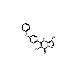 CC(C)c1c(-c2ccc(Oc3ccccc3)cc2)[nH]c2c(C#N)cnn2c1=O